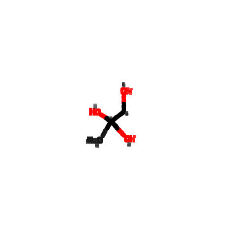 COC(O)(O)CO